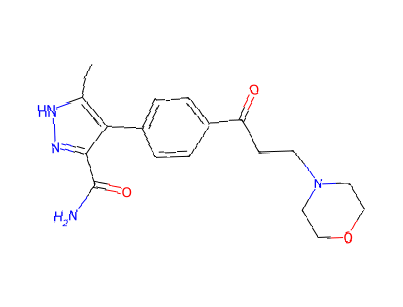 Cc1[nH]nc(C(N)=O)c1-c1ccc(C(=O)CCN2CCOCC2)cc1